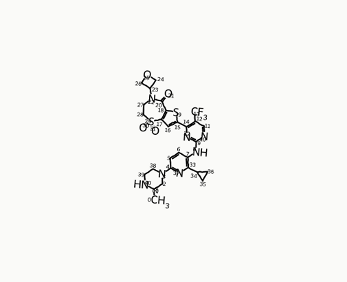 C[C@@H]1CN(c2ccc(Nc3ncc(C(F)(F)F)c(-c4cc5c(s4)C(=O)N(C4COC4)CCS5(=O)=O)n3)c(C3CC3)n2)CCN1